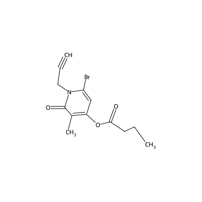 C#CCn1c(Br)cc(OC(=O)CCC)c(C)c1=O